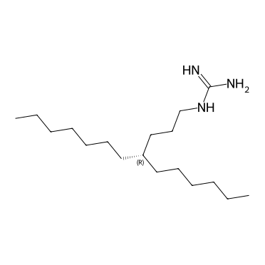 CCCCCCC[C@@H](CCCCCC)CCCNC(=N)N